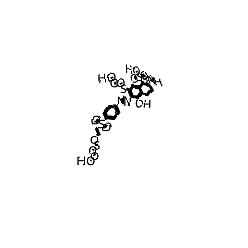 [2H]Nc1ccc2c(O)c(/N=N/c3ccc(S(=O)(=O)CCOSOOO)cc3)c(SOOO)cc2c1S(=O)(=O)O